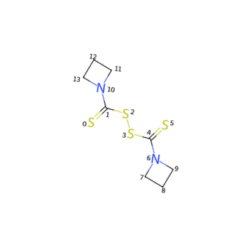 S=C(SSC(=S)N1CCC1)N1CCC1